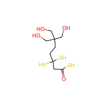 O=C(S)CC(S)(S)CCC(CO)(CO)CO